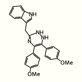 COc1ccc(C2=C(c3ccc(OC)cc3)NNC(Cc3c[nH]c4ccccc34)=N2)cc1